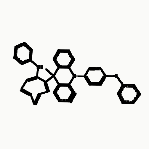 CC1(C2=C/C=C/C=C/C=C\2Nc2ccccc2)c2ccc#cc2N(C2=C=C=C(Sc3ccccc3)C=C2)c2ccccc21